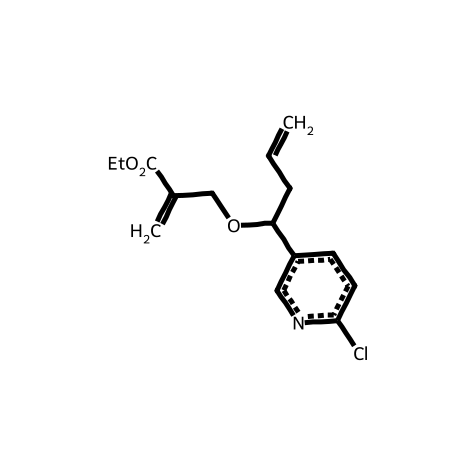 C=CCC(OCC(=C)C(=O)OCC)c1ccc(Cl)nc1